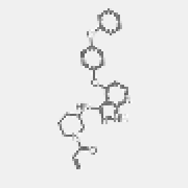 C=CC(=O)N1CCCC(Nc2n[nH]c3nccc(Oc4ccc(Oc5ccccc5)cc4)c23)C1